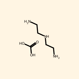 NCCNCCN.O=C(O)O